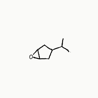 [CH2]C(C)C1CC2OC2C1